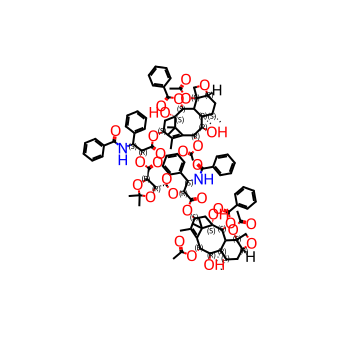 CC(=O)O[C@@H]1C2=C(C)[C@@H](OC(=O)[C@H](OC(=O)[C@@H]3OC(C)(C)O[C@H]3C(=O)O[C@@H](C(=O)O[C@H]3C[C@@]4(O)[C@@H](OC(=O)c5ccccc5)C5[C@@](C)([C@@H](C)C[C@H]6OC[C@@]56OC(C)=O)[C@@H](O)[C@H](OC(C)=O)C(=C3C)C4(C)C)[C@@H](NC(=O)c3ccccc3)c3ccccc3)[C@@H](NC(=O)c3ccccc3)c3ccccc3)C[C@@](O)([C@@H](OC(=O)c3ccccc3)C3[C@@](C)([C@@H](C)C[C@H]4OC[C@@]34OC(C)=O)[C@H]1O)C2(C)C